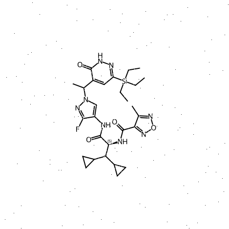 CC[Si](CC)(CC)c1cc(C(C)n2cc(NC(=O)[C@@H](NC(=O)c3nonc3C)C(C3CC3)C3CC3)c(F)n2)c(=O)[nH]n1